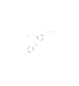 CNc1cc(OC)ccc1CC(=O)c1ccc(F)cc1